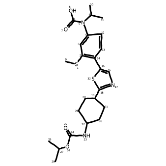 CSc1cc(N(C(=O)O)C(C)C)ccc1-c1cnc(C2CCC(NC(=O)OC(C)C)CC2)s1